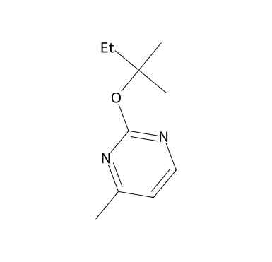 CCC(C)(C)Oc1nccc(C)n1